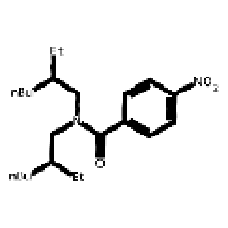 CCCCC(CC)CN(CC(CC)CCCC)C(=O)c1ccc([N+](=O)[O-])cc1